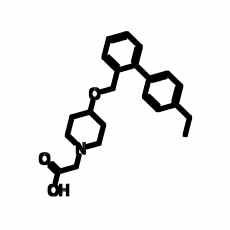 CCc1ccc(-c2ccccc2COC2CCN(CC(=O)O)CC2)cc1